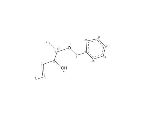 CC=CC(O)[C@H](C)OCc1ccccc1